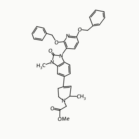 COC(=O)CN1CCC(c2ccc3c(c2)n(C)c(=O)n3-c2ccc(OCc3ccccc3)nc2OCc2ccccc2)=CC1C